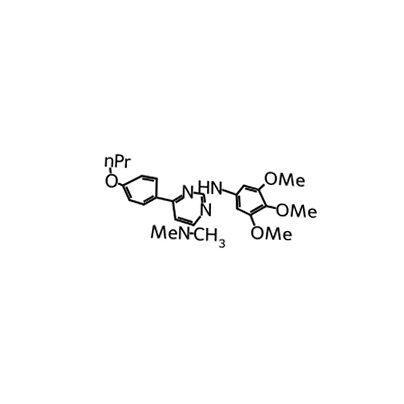 CCCOc1ccc(-c2ccnc(Nc3cc(OC)c(OC)c(OC)c3)n2)cc1.CNC